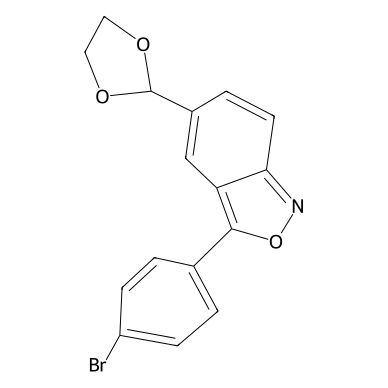 Brc1ccc(-c2onc3ccc(C4OCCO4)cc23)cc1